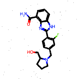 NC(=O)c1cccc2[nH]c(-c3ccc(CN4CCCC4CO)cc3F)nc12